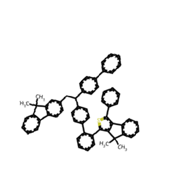 CC1(C)c2ccccc2-c2ccc(CC(c3ccc(-c4ccccc4)cc3)c3ccc(-c4ccccc4-c4sc(-c5ccccc5)c5c4C(C)(C)c4ccccc4-5)cc3)cc21